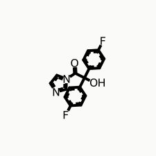 O=C(n1ccnc1)C(O)(c1ccc(F)cc1)c1ccc(F)cc1